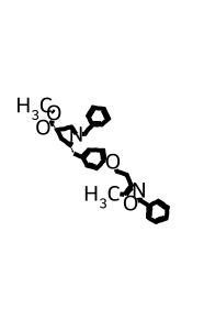 COC(=O)[C@H]1C[C@@H](Cc2ccc(OCCc3nc(-c4ccccc4)oc3C)cc2)N(Cc2ccccc2)C1